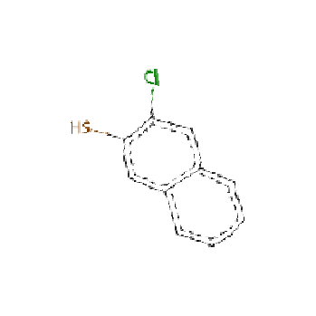 Sc1cc2ccccc2cc1Cl